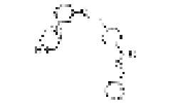 O=C(OCc1ccccc1)N1CCN(CCOc2cccc(N3C4CCC3CNC4)c2)CC1